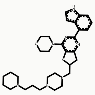 c1cc(-c2nc3c(c(N4CCOCC4)n2)SC(CN2CCN(CCCN4CCCCC4)CC2)C3)c2cc[nH]c2c1